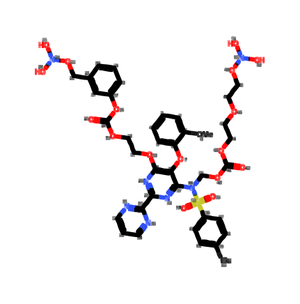 COc1ccccc1Oc1c(OCCOC(=O)Oc2cccc(CON(O)O)c2)nc(-c2ncccn2)nc1N(COC(=O)OCCOCCON(O)O)S(=O)(=O)c1ccc(C(C)(C)C)cc1